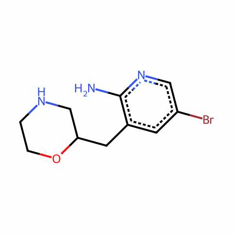 Nc1ncc(Br)cc1CC1CNCCO1